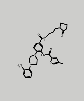 Cc1coc(C(=O)Nc2cc(C(=O)NCCCN3CCCC3=O)ccc2N2CCN(c3ccccc3N)CC2)c1